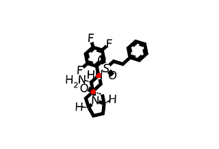 N[C@H](Cc1cc(F)c(F)cc1F)[C@@H]1C[C@H]2CC[C@@H](C1)N2C(=O)CNS(=O)(=O)CCc1ccccc1